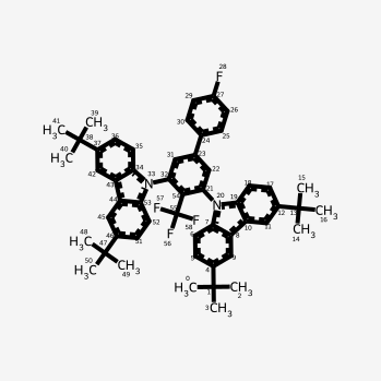 CC(C)(C)c1ccc2c(c1)c1cc(C(C)(C)C)ccc1n2-c1cc(-c2ccc(F)cc2)cc(-n2c3ccc(C(C)(C)C)cc3c3cc(C(C)(C)C)ccc32)c1C(F)(F)F